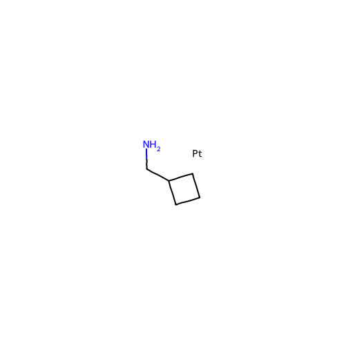 NCC1CCC1.[Pt]